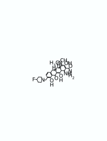 CN(C)[C@@H]1C(O)=C(C(N)=O)C(=N)C2C(O)=C3C(=O)c4c(ccc(CN5CCC(F)CC5)c4O)C[C@H]3C[C@H]21